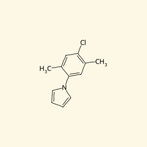 Cc1cc(-n2cccc2)c(C)cc1Cl